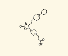 CN1C(=O)OC(N2CCN(CCC(=O)O)CC2)C1CCC1CCN(C2CCCCC2)CC1